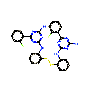 Nc1nc(Nc2ccccc2SSc2ccccc2Nc2nc(N)nc(-c3ccccc3F)n2)nc(-c2ccccc2F)n1